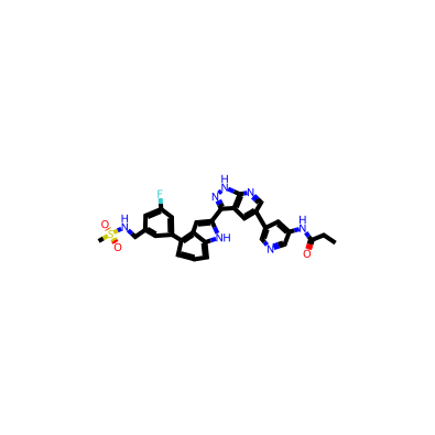 CCC(=O)Nc1cncc(-c2cnc3[nH]nc(-c4cc5c(-c6cc(F)cc(CNS(C)(=O)=O)c6)cccc5[nH]4)c3c2)c1